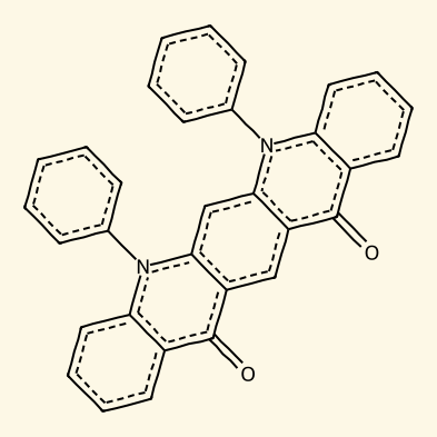 O=c1c2ccccc2n(-c2ccccc2)c2cc3c(cc12)c(=O)c1ccccc1n3-c1ccccc1